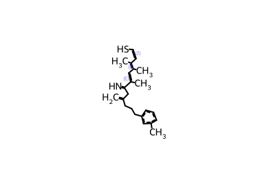 C=C(CCCc1cccc(C)c1)CC(=N)/C(C)=C/C(C)=C(C)/C=C\S